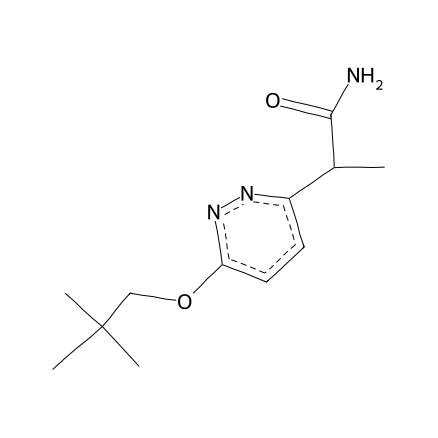 CC(C(N)=O)c1ccc(OCC(C)(C)C)nn1